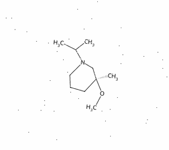 CO[C@@]1(C)CCCN(C(C)C)C1